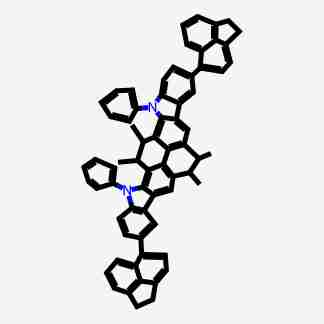 CC1c2cc3c4cc(-c5ccc6c7c(cccc57)CC6)ccc4n(-c4ccccc4)c3c3c2-c2c(cc4c5cc(-c6ccc7c8c(cccc68)CC7)ccc5n(-c5ccccc5)c4c2C(C)C3C)C1C